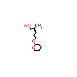 CC(=CCCOC1CCCCO1)CO